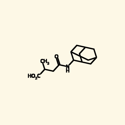 CC(CC(=O)NC1C2CC3CC(C2)CC1C3)C(=O)O